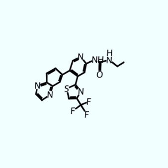 CCNC(=O)Nc1cc(-c2nc(C(F)(F)F)cs2)c(-c2ccc3nccnc3c2)cn1